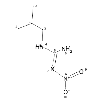 CC(C)CN/C(N)=N/[N+](=O)[O-]